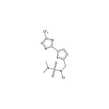 CCN(Cc1ccc(-c2noc(C(F)(F)F)n2)s1)S(=O)(=O)N(C)C